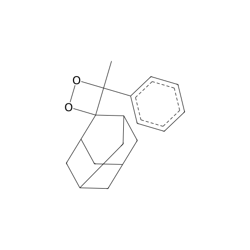 CC1(c2ccccc2)OOC12C1CC3CC(C1)CC2C3